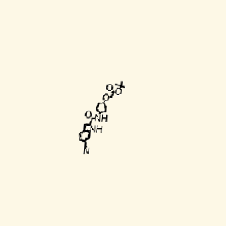 CC(C)(C)OC(=O)CO[C@H]1CC[C@H](NC(=O)c2cc3ccc(C#N)cc3[nH]2)CC1